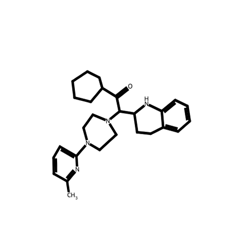 Cc1cccc(N2CCN(C(C(=O)C3CCCCC3)C3CCc4ccccc4N3)CC2)n1